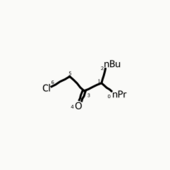 [CH2]CCC(CCCC)C(=O)CCl